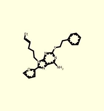 CCC=CCCCn1c(-c2ccco2)nc2c(N)nc(SCCc3ccccc3)nc21